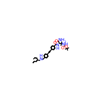 C=C/C=C(\C=C/C)CNCc1ccc(C#Cc2ccc(C(=O)NC(C(N)=O)C(C)(C)NC(=O)OC(C)(C)C)cc2)cc1